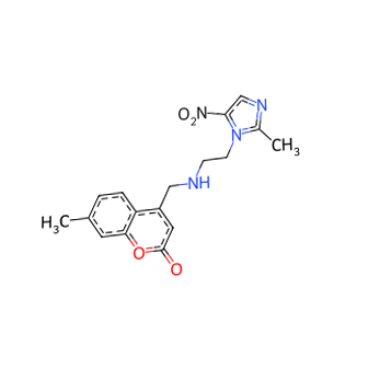 Cc1ccc2c(CNCCn3c([N+](=O)[O-])cnc3C)cc(=O)oc2c1